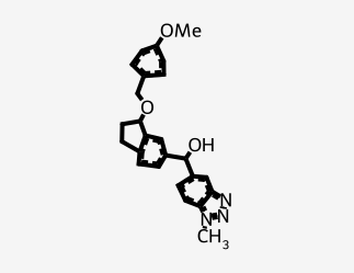 COc1ccc(COC2CCc3ccc(C(O)c4ccc5c(c4)nnn5C)cc32)cc1